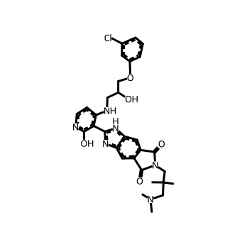 CN(C)CC(C)(C)CN1C(=O)c2cc3nc(-c4c(NCC(O)COc5cccc(Cl)c5)ccnc4O)[nH]c3cc2C1=O